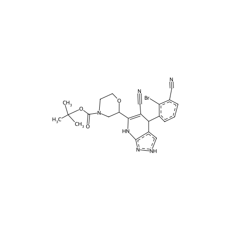 CC(C)(C)OC(=O)N1CCOC(C2=C(C#N)C(c3cccc(C#N)c3Br)c3c[nH]nc3N2)C1